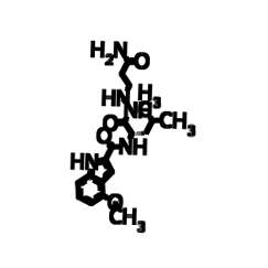 COc1cccc2[nH]c(C(=O)N[C@@H](CC(C)C)C(=O)NNCCC(N)=O)cc12